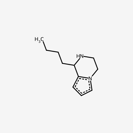 CCCCC1NCCn2cccc21